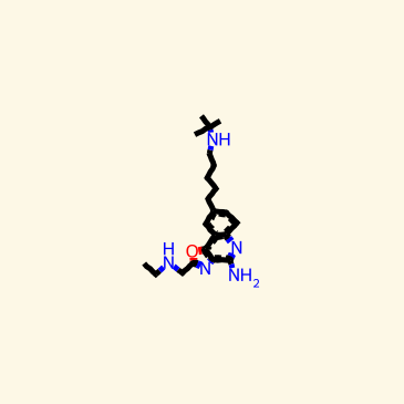 CCNCc1nc2c(N)nc3ccc(CCCCCNC(C)(C)C)cc3c2o1